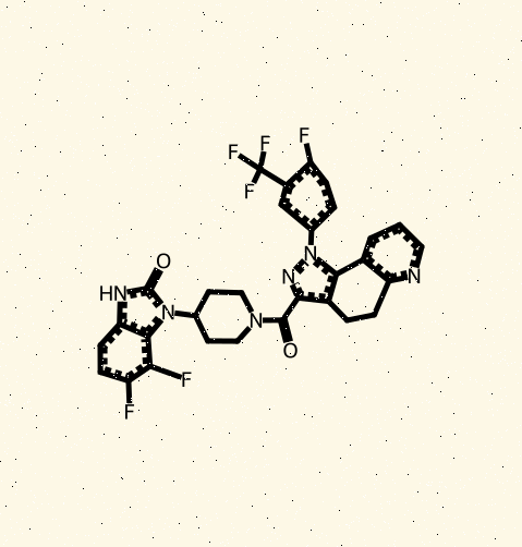 O=C(c1nn(-c2ccc(F)c(C(F)(F)F)c2)c2c1CCc1ncccc1-2)N1CCC(n2c(=O)[nH]c3ccc(F)c(F)c32)CC1